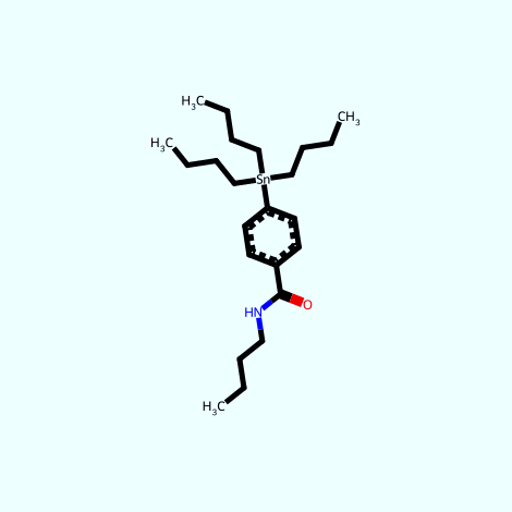 CCCCNC(=O)c1cc[c]([Sn]([CH2]CCC)([CH2]CCC)[CH2]CCC)cc1